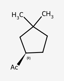 CC(=O)[C@@H]1CCC(C)(C)C1